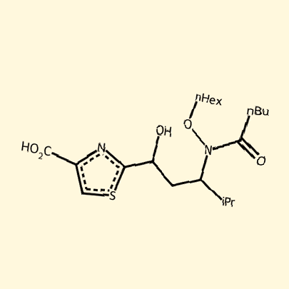 CCCCCCON(C(=O)CCCC)C(CC(O)c1nc(C(=O)O)cs1)C(C)C